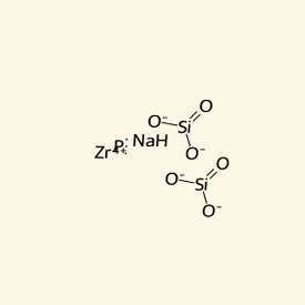 O=[Si]([O-])[O-].O=[Si]([O-])[O-].[NaH].[P].[Zr+4]